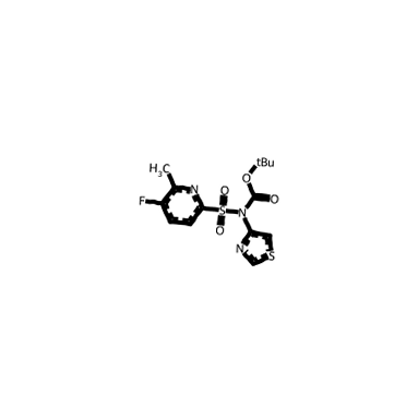 Cc1nc(S(=O)(=O)N(C(=O)OC(C)(C)C)c2cscn2)ccc1F